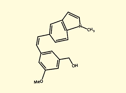 COc1cc(/C=C\c2ccc3c(ccn3C)c2)cc(CO)c1